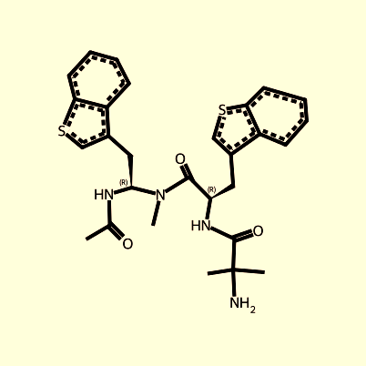 CC(=O)N[C@@H](Cc1csc2ccccc12)N(C)C(=O)[C@@H](Cc1csc2ccccc12)NC(=O)C(C)(C)N